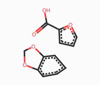 O=C(O)c1ccco1.c1ccc2c(c1)OCO2